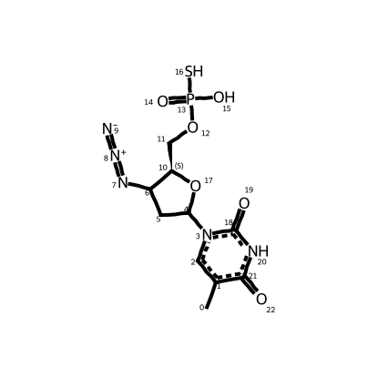 Cc1cn(C2CC(N=[N+]=[N-])[C@@H](COP(=O)(O)S)O2)c(=O)[nH]c1=O